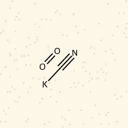 N#[C][K].O=O